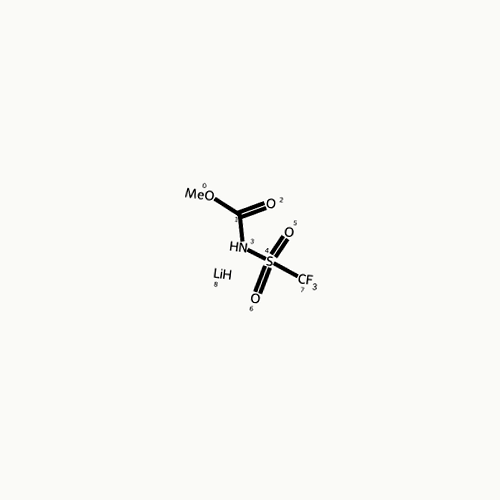 COC(=O)NS(=O)(=O)C(F)(F)F.[LiH]